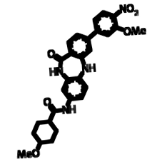 COc1cc(-c2ccc3c(c2)Nc2ccc(NC(=O)C4CCC(OC)CC4)cc2NC3=O)ccc1[N+](=O)[O-]